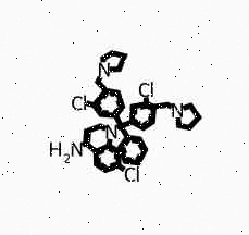 NC1=CCN(C(c2ccccc2)(c2ccc(CN3CCCC3)c(Cl)c2)c2ccc(CN3CCCC3)c(Cl)c2)c2cc(Cl)ccc21